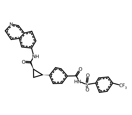 O=C(NS(=O)(=O)c1ccc(C(F)(F)F)cc1)c1ccc([C@@H]2C[C@H]2C(=O)Nc2ccc3cnccc3c2)cc1